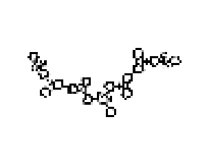 O=S(=O)(c1ccccc1)c1ccc(-n2c3ccccc3c3cc(-c4ccc5c(c4)c4ccccc4n5-c4cccc(-c5cc(-c6ccccc6)nc(-c6cccc(-n7c8ccccc8c8cc(-c9ccc%10c(c9)c9ccccc9n%10-c9ccc(S(=O)(=O)c%10ccccc%10)cc9)ccc87)c6)n5)c4)ccc32)cc1